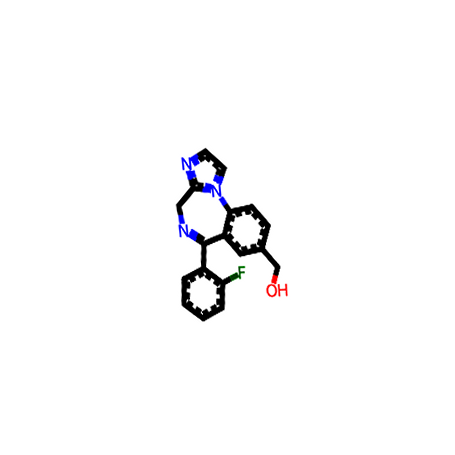 OCc1ccc2c(c1)C(c1ccccc1F)=NCc1nccn1-2